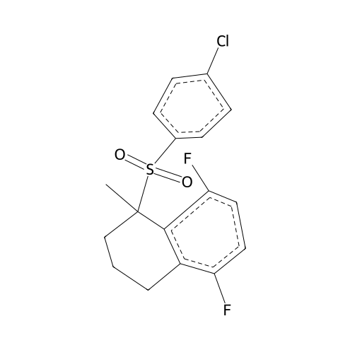 CC1(S(=O)(=O)c2ccc(Cl)cc2)CCCc2c(F)ccc(F)c21